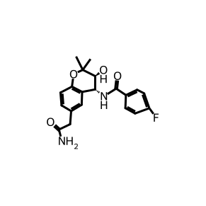 CC1(C)Oc2ccc(CC(N)=O)cc2[C@@H](NC(=O)c2ccc(F)cc2)[C@@H]1O